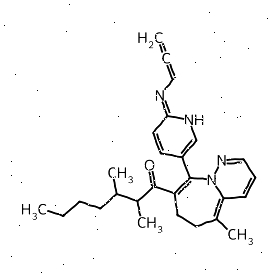 C=C=C/N=c1/ccc(C2=C(C(=O)C(C)C(C)CCCC)CCC(C)=C3C=CC=NN32)c[nH]1